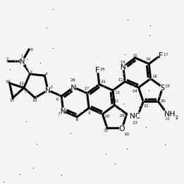 CN(C)[C@H]1CN(c2ncc3c4c(c(-c5ncc(F)c6sc(N)c(C#N)c56)c(F)c3n2)COC4)CC12CC2